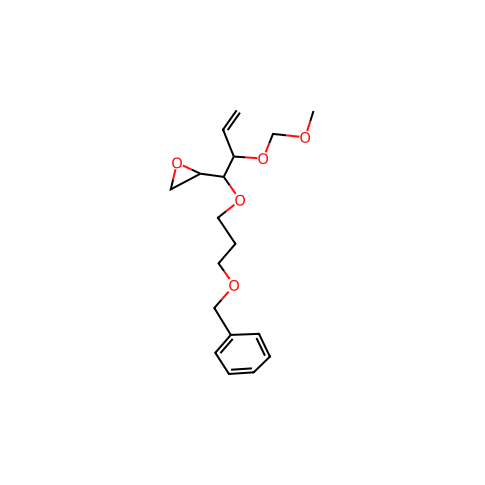 C=CC(OCOC)C(OCCCOCc1ccccc1)C1CO1